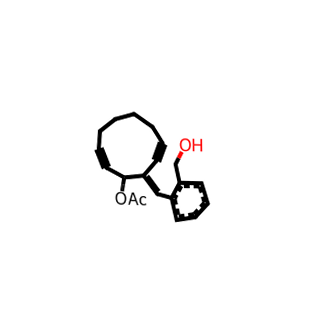 CC(=O)OC1C#CCCCCC#CC1=Cc1ccccc1CO